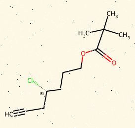 C#CC[C@H](Cl)CCCOC(=O)C(C)(C)C